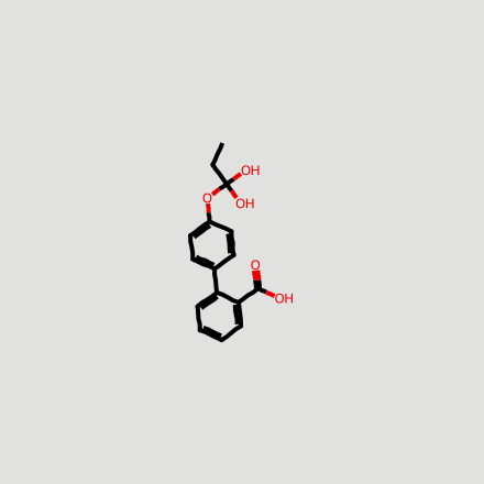 CCC(O)(O)Oc1ccc(-c2ccccc2C(=O)O)cc1